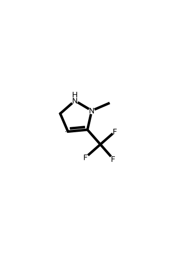 CN1NC[C]=C1C(F)(F)F